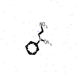 CN(/C=C/[N+](=O)[O-])c1ccccc1